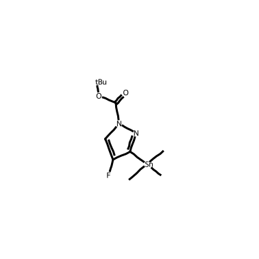 CC(C)(C)OC(=O)n1cc(F)[c]([Sn]([CH3])([CH3])[CH3])n1